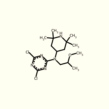 COC(C)CN(c1nc(Cl)nc(Cl)n1)C1CC(C)(C)NC(C)(C)C1